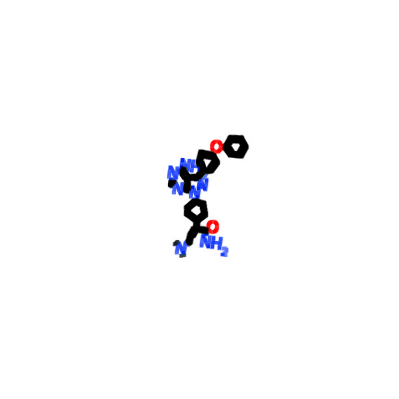 CN(C)CC=C(C(N)=O)C1CCC(n2nc(-c3ccc(Oc4ccccc4)cc3)c3c(N)ncnc32)CC1